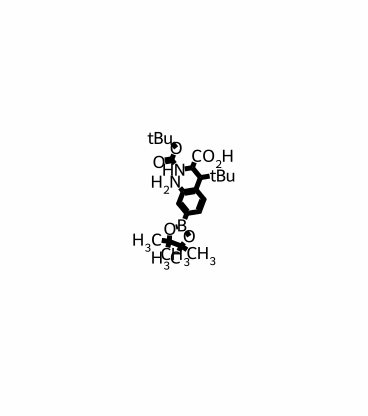 CC(C)(C)OC(=O)NC(C(=O)O)C(c1ccc(B2OC(C)(C)C(C)(C)O2)cc1N)C(C)(C)C